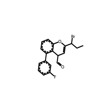 CCC(Br)C1=CC(C=O)c2c(cccc2-c2cccc(F)c2)O1